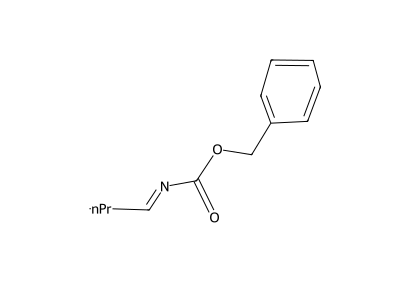 CC[CH]C=NC(=O)OCc1ccccc1